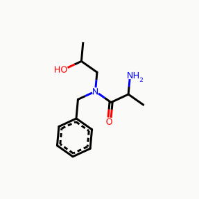 CC(O)CN(Cc1ccccc1)C(=O)C(C)N